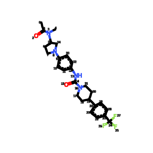 CC(=O)N(C)C1CCN(c2ccc(NC(=O)N3CCC(c4ccc(C(F)(F)F)cc4)CC3)cc2)C1